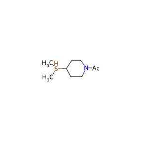 CC(=O)N1CCC([SH](C)C)CC1